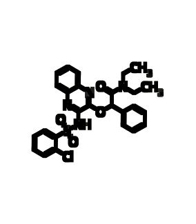 CCN(CC)C(=O)C(Oc1nc2ccccc2nc1NS(=O)(=O)c1ccccc1Cl)c1ccccc1